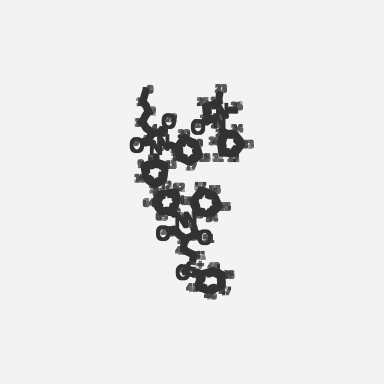 CCCCC1C(=O)N(c2ccccc2)N(c2ccccc2)C1=O.Cc1cc(=O)n(-c2ccccc2)n1C.O=C1C(CC[S+]([O-])c2ccccc2)C(=O)N(c2ccccc2)N1c1ccccc1